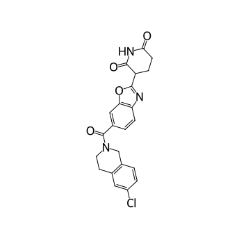 O=C1CCC(c2nc3ccc(C(=O)N4CCc5cc(Cl)ccc5C4)cc3o2)C(=O)N1